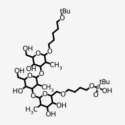 CC1C(OC2C(C)C(OC3C(C)C(OCCCCCOC(C)(C)C)OC(CO)C3O)OC(CO)C2O)OC(COCCCCOP(=O)(O)C(C)(C)C)C(O)C1O